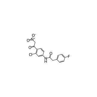 O=C(Cc1ccc(F)cc1)Nc1ccc(C(=O)C[N+](=O)[O-])c(Cl)c1